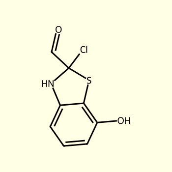 O=CC1(Cl)Nc2cccc(O)c2S1